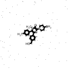 Cc1ccc(-c2c(-c3ccc(CO)cc3)nc(N3CCC(N)CC3)c(=O)n2C)cc1